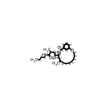 CCCCNC(=O)C(C)CC(O)C1C[C@H](C)CCCCCCCOc2cccc(c2)C(=O)N1